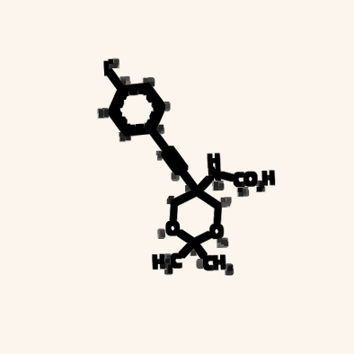 CC1(C)OCC(C#Cc2ccc(I)cc2)(NC(=O)O)CO1